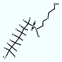 CCN(CCOCCOC)S(=O)(=O)C(F)(F)C(F)(F)C(F)(F)C(F)(F)C(F)(F)C(F)(F)C(F)(F)C(F)(F)F